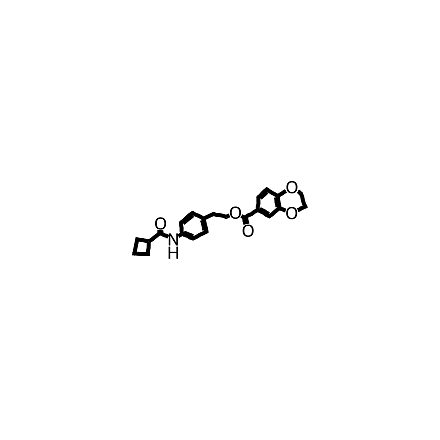 O=C(OCCc1ccc(NC(=O)C2CCC2)cc1)c1ccc2c(c1)OCCO2